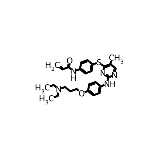 C=CC(=O)Nc1ccc(Sc2nc(Nc3ccc(OCCCN(CC)CC)cc3)ncc2C)cc1